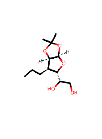 CCC[C@H]1[C@H]2OC(C)(C)O[C@H]2O[C@@H]1C(O)CO